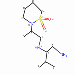 CC(C)C(CN)NCC(C)N1CCCCS1(=O)=O